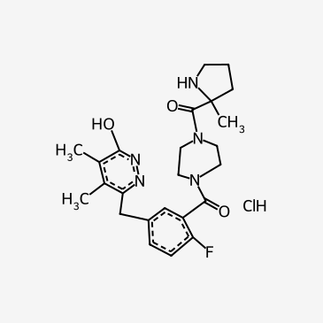 Cc1c(O)nnc(Cc2ccc(F)c(C(=O)N3CCN(C(=O)C4(C)CCCN4)CC3)c2)c1C.Cl